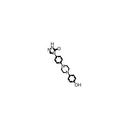 O=c1[nH]ncn1-c1ccc(N2CCN(c3ccc(O)cc3)CC2)cc1